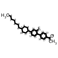 CCCCCCCC1CCC(c2ccc(-c3ccc(C(C)=O)cc3)c(F)c2)CC1